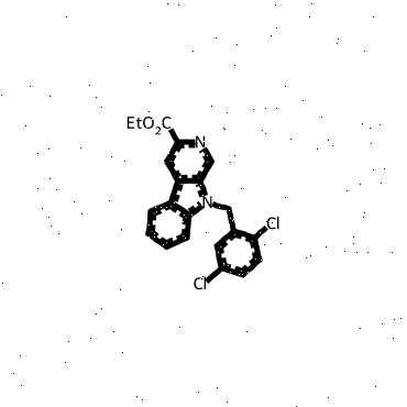 CCOC(=O)c1cc2c3ccccc3n(Cc3cc(Cl)ccc3Cl)c2cn1